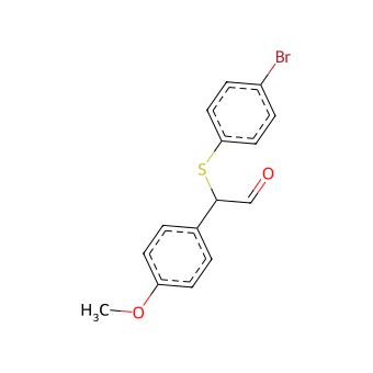 COc1ccc(C(C=O)Sc2ccc(Br)cc2)cc1